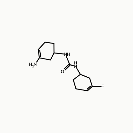 NC1=CCCC(NC(=O)NC2CCC=C(F)C2)C1